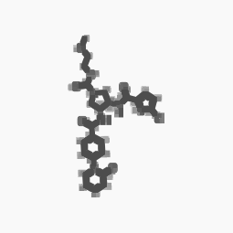 COCCOC(=O)N1C[C@H](NC(=O)c2ccc(-n3ccccc3=O)cc2)[C@H](NC(=O)c2ccc(Cl)s2)C1